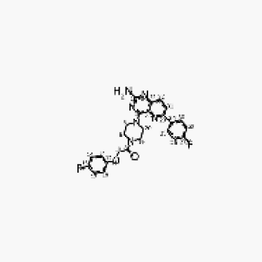 Nc1nc(N2CCN(C(=O)COc3ccc(F)cc3)CC2)c2nc(-c3ccc(F)cc3)ccc2n1